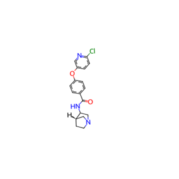 O=C(NC1CN2CC[C@H]1C2)c1ccc(Oc2ccc(Cl)nc2)cc1